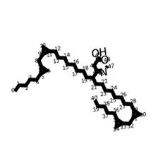 CCCCCC1CC1CC1CC1CCCCCCCCC(CCCCCCCCC1CC1CC1CC1CCCCC)/C(CC(=O)O)=N/C